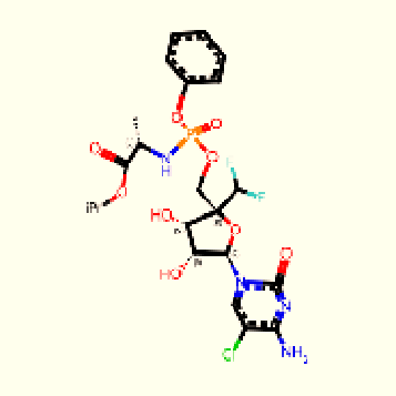 CC(C)OC(=O)[C@H](C)NP(=O)(OC[C@@]1(C(F)F)O[C@@H](n2cc(Cl)c(N)nc2=O)[C@H](O)[C@@H]1O)Oc1ccccc1